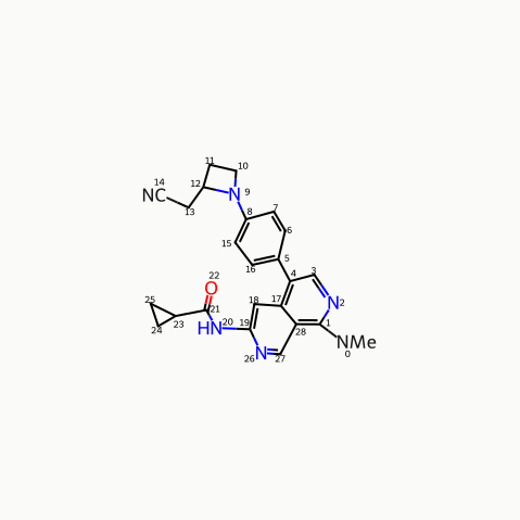 CNc1ncc(-c2ccc(N3CCC3CC#N)cc2)c2cc(NC(=O)C3CC3)ncc12